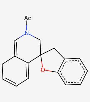 CC(=O)N1C=C2CC=CC=C2C2(Cc3ccccc3O2)C1